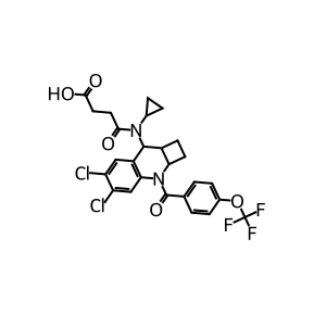 O=C(O)CCC(=O)N(C1CC1)C1c2cc(Cl)c(Cl)cc2N(C(=O)c2ccc(OC(F)(F)F)cc2)C2CCC21